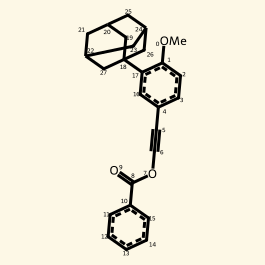 COc1ccc(C#COC(=O)c2ccccc2)cc1C12CC3CC(CC(C3)C1)C2